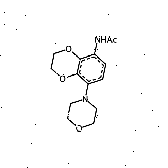 CC(=O)Nc1ccc(N2CCOCC2)c2c1OCCO2